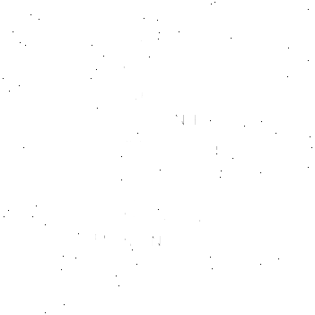 Cc1cc(C)cc(NC(=O)c2cc(N3CCCS3(=O)=O)ccc2Cl)c1